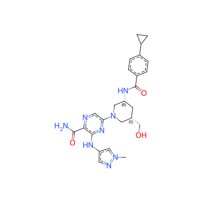 Cn1cc(Nc2nc(N3C[C@@H](CO)C[C@@H](NC(=O)c4ccc(C5CC5)cc4)C3)cnc2C(N)=O)cn1